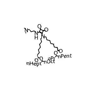 CCCCCCCCC(CCCCCCC)OC(=O)CCCCCCCN(CCCCCCCC(=O)OC(CCC)CCCCC)c1c(NCCCN(C)C)c(=O)c1=O